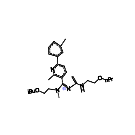 C=C(/N=C(\c1ccc(-c2cccc(C)c2)nc1C)N(C)CCOCC(C)C)NCCOCCC